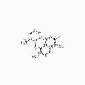 Cl.Cn1cc(-c2cccc(N)c2F)c2ccccc2c1=O